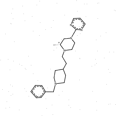 C[C@@H]1CN(c2ncccn2)CCN1CCC1CCN(Cc2ccccc2)CC1